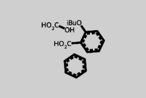 CC(C)COc1ccccc1C(=O)O.O=C(O)O.c1ccccc1